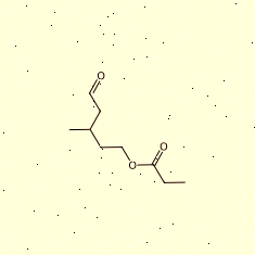 CCC(=O)OCCC(C)CC=O